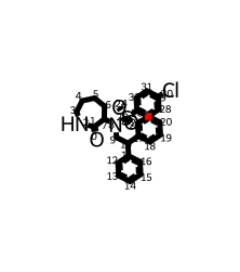 O=C1NCCCCC1N(CC(c1ccccc1)c1ccccc1)S(=O)(=O)c1ccc(Cl)cc1